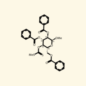 CO[C@H]1O[C@H](COC(=O)c2ccccc2)[C@@H](OC(=S)SC)[C@H](OC(=O)c2ccccc2)[C@H]1OC(=O)c1ccccc1